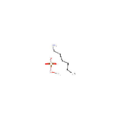 CCCCCCN.COS(=O)(=O)O